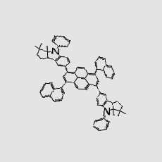 CC1(C)CCC2c3cc(-c4cc(-c5cccc6ccccc56)c5ccc6c(-c7ccc8c(c7)C7CCC(C)(C)C7(C)N8c7ccccc7)cc(-c7cccc8ccccc78)c7ccc4c5c67)ccc3N(c3ccccc3)C21C